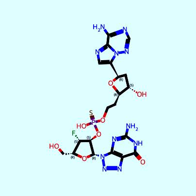 Nc1nc2c(nnn2[C@@H]2O[C@H](CO)[C@H](F)[C@H]2OP(O)(=S)OCC[C@H]2O[C@@H](c3cnc4c(N)ncnn34)C[C@@H]2O)c(=O)[nH]1